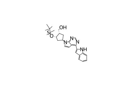 CC(C)(C)[Si](C)(C)O[C@H]1C[C@H](n2ccc3c(-c4cc5ccccc5[nH]4)ncnc32)C[C@H]1CO